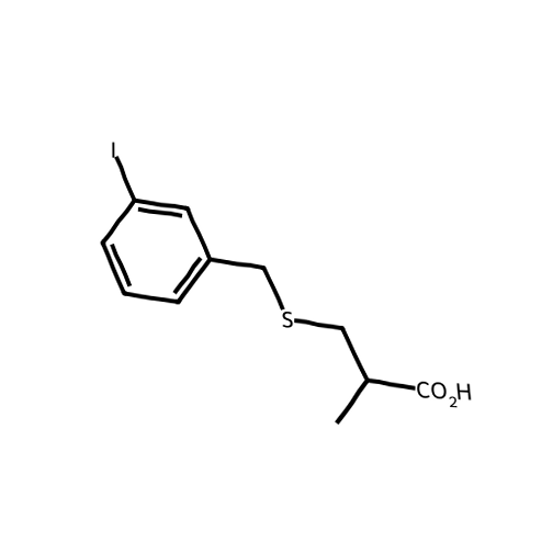 CC(CSCc1cccc(I)c1)C(=O)O